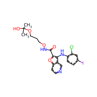 CC(C)(O)OCCCONC(=O)c1oc2ccncc2c1Nc1ccc(I)cc1Cl